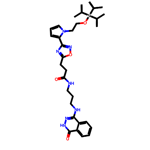 CC(C)[Si](OCCn1cccc1-c1noc(CCC(=O)NCCCNc2n[nH]c(=O)c3ccccc23)n1)(C(C)C)C(C)C